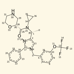 C[C@H](c1cn(Cc2cccc(OC(F)(F)F)c2)c(-c2ccccc2)n1)N(C(=O)[C@H]1CNCCO1)C1CC1